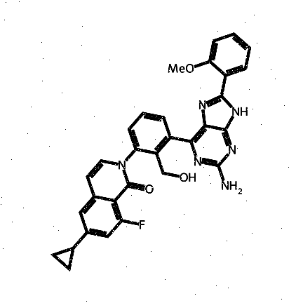 COc1ccccc1-c1nc2c(-c3cccc(-n4ccc5cc(C6CC6)cc(F)c5c4=O)c3CO)nc(N)nc2[nH]1